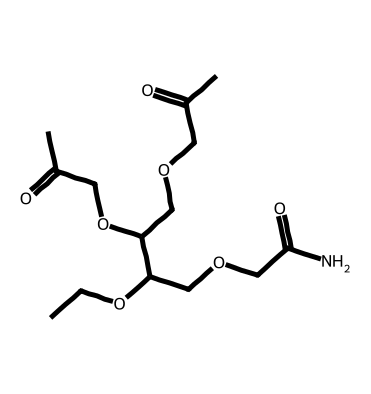 CCOC(COCC(N)=O)C(COCC(C)=O)OCC(C)=O